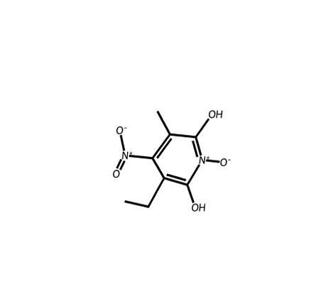 CCc1c([N+](=O)[O-])c(C)c(O)[n+]([O-])c1O